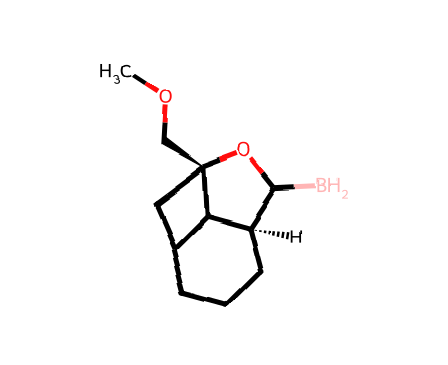 BC1O[C@@]2(COC)CC3CCC[C@H]1C32